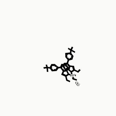 C[CH]=[Hf+2]([CH3])([CH]1C(CC)=Cc2c(-c3ccc(C(C)(C)C)cc3)cccc21)[CH]1C(CC)=Cc2c(-c3ccc(C(C)(C)C)cc3)cccc21.[Cl-].[Cl-]